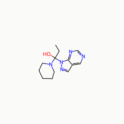 CCC(O)(N1CCCCC1)n1ncc2cncnc21